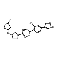 Oc1cc(-c2cn[nH]c2)ccc1-c1cnc(N2CCC(NC3CCC(F)C3)C2)nn1